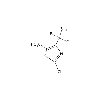 O=C(O)c1sc(Cl)nc1C(F)(F)C(F)(F)F